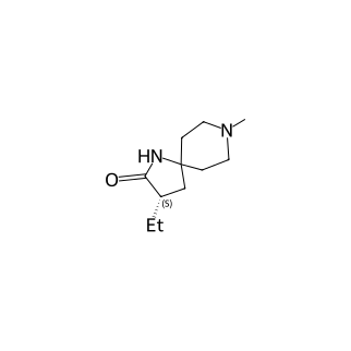 CC[C@H]1CC2(CCN(C)CC2)NC1=O